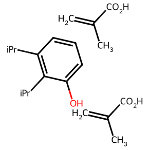 C=C(C)C(=O)O.C=C(C)C(=O)O.CC(C)c1cccc(O)c1C(C)C